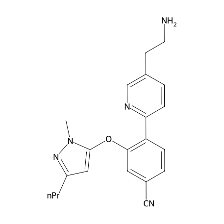 CCCc1cc(Oc2cc(C#N)ccc2-c2ccc(CCN)cn2)n(C)n1